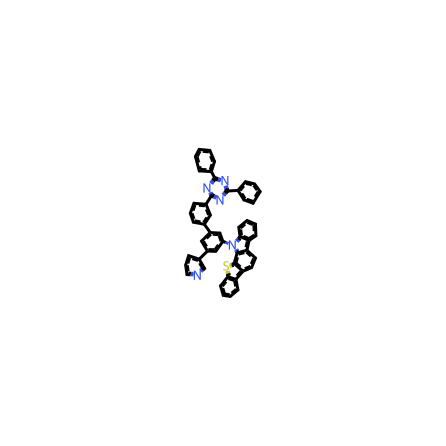 c1ccc(-c2nc(-c3ccccc3)nc(-c3cccc(-c4cc(-c5cccnc5)cc(-n5c6ccccc6c6ccc7c8ccccc8sc7c65)c4)c3)n2)cc1